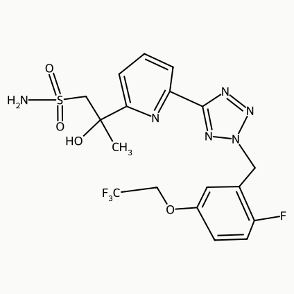 CC(O)(CS(N)(=O)=O)c1cccc(-c2nnn(Cc3cc(OCC(F)(F)F)ccc3F)n2)n1